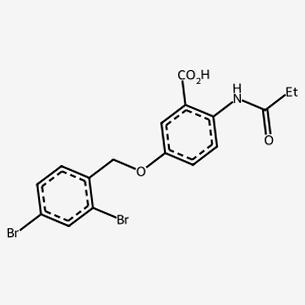 CCC(=O)Nc1ccc(OCc2ccc(Br)cc2Br)cc1C(=O)O